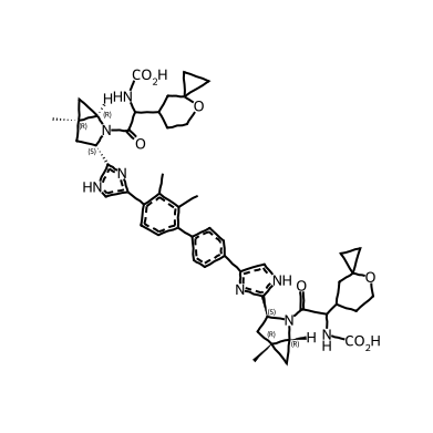 Cc1c(-c2ccc(-c3c[nH]c([C@@H]4C[C@@]5(C)C[C@H]5N4C(=O)C(NC(=O)O)C4CCOC5(CC5)C4)n3)cc2)ccc(-c2c[nH]c([C@@H]3C[C@@]4(C)C[C@H]4N3C(=O)C(NC(=O)O)C3CCOC4(CC4)C3)n2)c1C